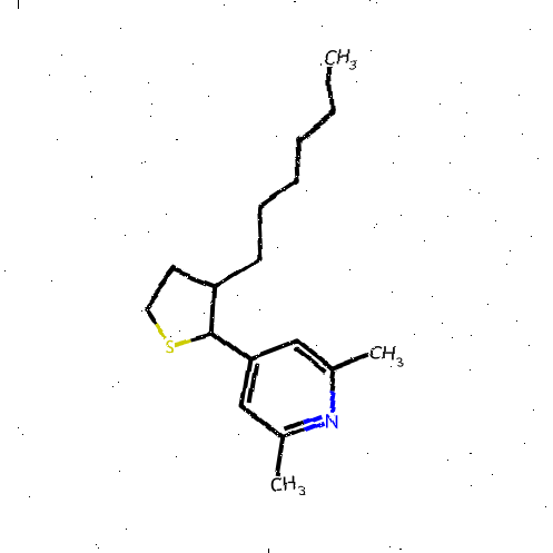 CCCCCCC1CCSC1c1cc(C)nc(C)c1